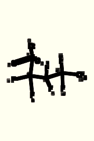 CCS(=O)(=O)C(F)(F)C(F)(F)C(F)(F)C(F)(F)F